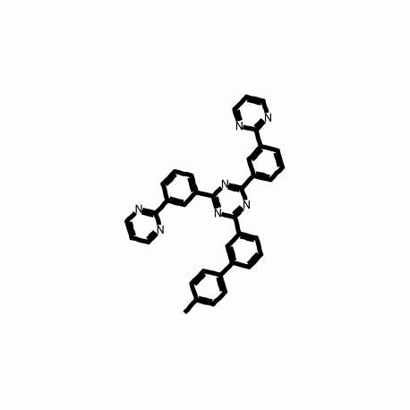 Cc1ccc(-c2cccc(-c3nc(-c4cccc(-c5ncccn5)c4)nc(-c4cccc(-c5ncccn5)c4)n3)c2)cc1